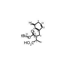 C[C@@H](C(=O)O)N(CC1=CC(=S)CC=C1)C(=O)OC(C)(C)C